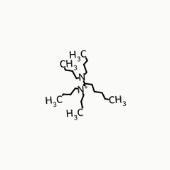 CCCCCC(N(CCCC)CCCC)=[N+](CCCC)CCCC